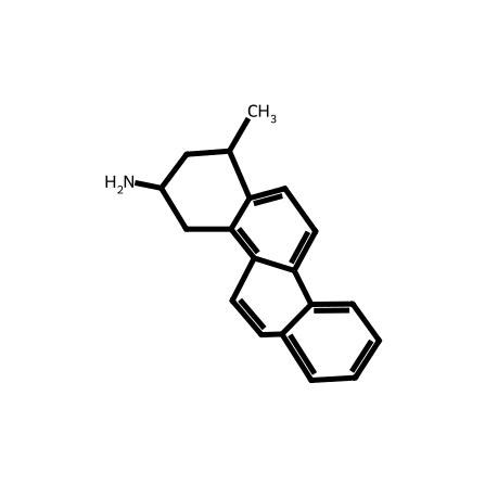 CC1CC(N)Cc2c1ccc1c2ccc2ccccc21